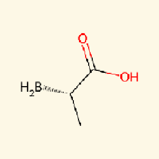 B[C@@H](C)C(=O)O